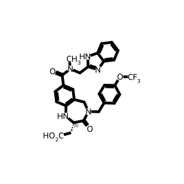 CN(Cc1nc2ccccc2[nH]1)C(=O)c1ccc2c(c1)CN(Cc1ccc(OC(F)(F)F)cc1)C(=O)[C@H](CC(=O)O)N2